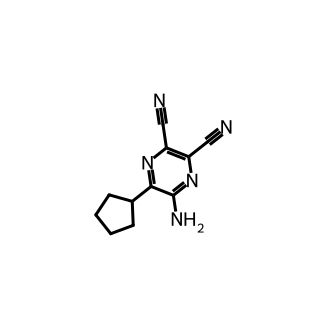 N#Cc1nc(N)c(C2CCCC2)nc1C#N